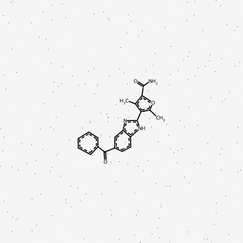 Cc1oc(C(N)=O)c(C)c1-c1nc2cc(C(=O)c3ccccc3)ccc2[nH]1